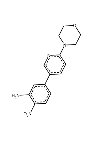 Nc1cc(-c2ccc(N3CCOCC3)nc2)ccc1[N+](=O)[O-]